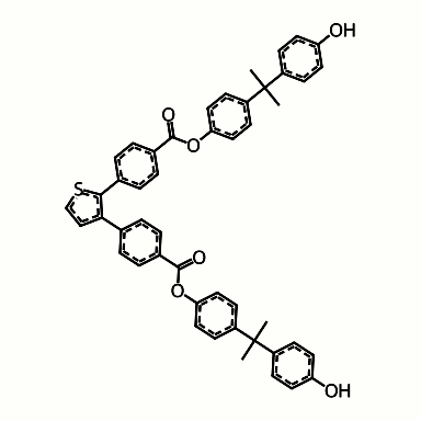 CC(C)(c1ccc(O)cc1)c1ccc(OC(=O)c2ccc(-c3ccsc3-c3ccc(C(=O)Oc4ccc(C(C)(C)c5ccc(O)cc5)cc4)cc3)cc2)cc1